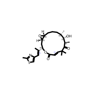 C/C(=C\c1csc(C)n1)[C@@H]1C[C@@H]2O[C@@H]2CCC[C@H](C)[C@H](O)[C@@H](C)C(=O)C(C)(C)/C=C/C(=O)O1